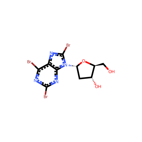 OC[C@@H]1O[C@@H](n2c(Br)nc3c(Br)nc(Br)nc32)C[C@H]1O